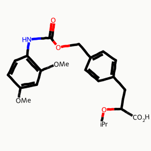 COc1ccc(NC(=O)OCc2ccc(CC(OC(C)C)C(=O)O)cc2)c(OC)c1